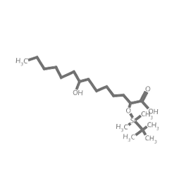 CCCCCCC(O)CCCCCC(O[Si](C)(C)C(C)(C)C)C(=O)O